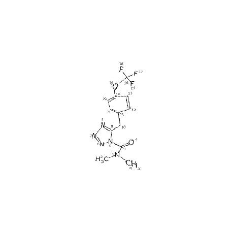 CN(C)C(=O)n1nnnc1Cc1ccc(OC(F)(F)F)cc1